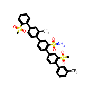 CS(=O)(=O)c1ccccc1-c1ccc(-c2ccc(-c3ccc(-c4cc[c]c(C(F)(F)F)c4)c(S(C)(=O)=O)c3)c(S(N)(=O)=O)c2)c(C(F)(F)F)c1